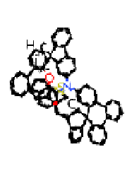 CC1(C)c2ccccc2-c2ccc(N(c3ccc4c(c3)C3(c5ccccc5-c5ccccc5-4)c4ccccc4-c4cc5c(cc43)sc3ccccc35)c3cccc4c3Oc3ccccc3-c3ccccc3-4)cc21